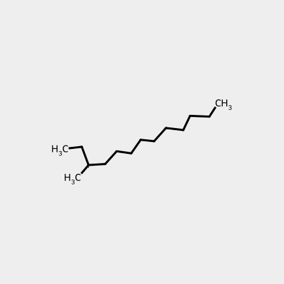 CCCCCCCCCC[C](C)CC